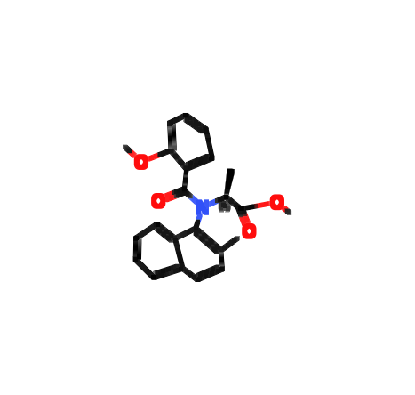 COC(=O)[C@H](C)N(C(=O)c1ccccc1OC)c1c(C)ccc2ccccc12